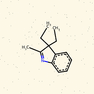 CCC1(CC)C(C)=Nc2ccccc21